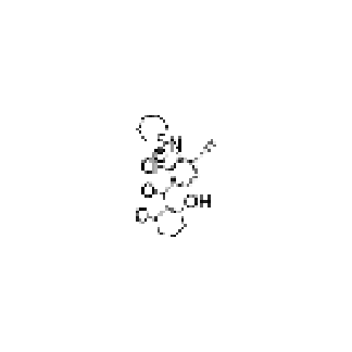 C#Cc1ccc(C(=O)C2=C(O)CCCC2=O)c(Cl)c1N=S1(=O)CCCCC1